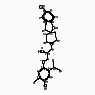 Cc1cc(OC[C@@H](O)CN2CCC3(CC2)Cc2cc(Cl)ccc2O3)c(C(C)C)cc1Cl